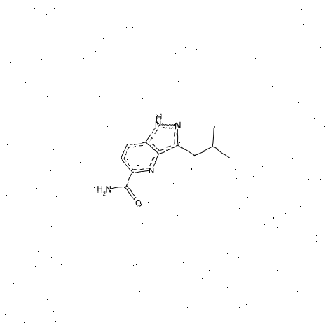 CC(C)Cc1n[nH]c2ccc(C(N)=O)nc12